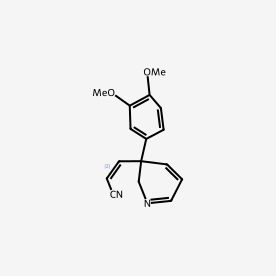 COc1ccc(C2(/C=C\C#N)C=CC=NC2)cc1OC